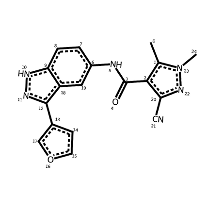 Cc1c(C(=O)Nc2ccc3[nH]nc(-c4ccoc4)c3c2)c(C#N)nn1C